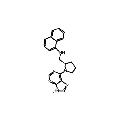 c1ccc2c(NC[C@H]3CCCN3c3ncnc4[nH]cnc34)cccc2c1